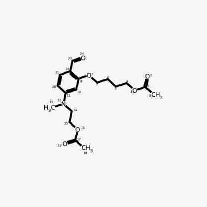 CC(=O)OCCCCOc1cc(N(C)CCOC(C)=O)ccc1C=O